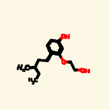 CCC(C)CCc1ccc(O)cc1OCCO